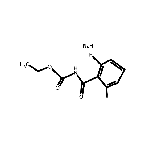 CCOC(=O)NC(=O)c1c(F)cccc1F.[NaH]